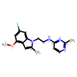 COc1cc(F)cc2c1cc(C)n2CCNc1ccnc(C)n1